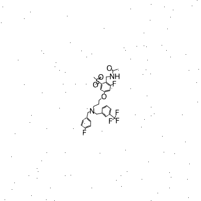 CC(=O)NCc1c(F)cc(OCCCN(Cc2ccc(F)cc2)Cc2cccc(C(F)(F)F)c2)cc1S(C)(=O)=O